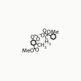 COC(=O)c1ccc2c(c1C)O[C@@H](COC(=O)[C@](C)(OC)c1ccccc1)CO2